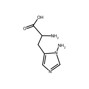 NC(Cc1cncn1N)C(=O)O